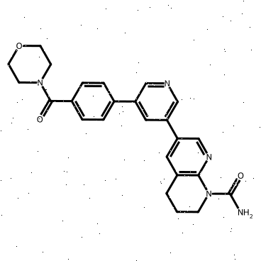 NC(=O)N1CCCc2cc(-c3cncc(-c4ccc(C(=O)N5CCOCC5)cc4)c3)cnc21